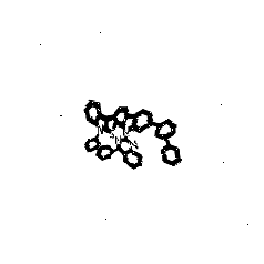 c1ccc(-c2cccc(-c3ccc4c5ccc6c(sc7c6c6ccccc6n7-c6ccccc6)c5n(-c5nc(-c6ccccc6)c6ccccc6n5)c4c3)c2)cc1